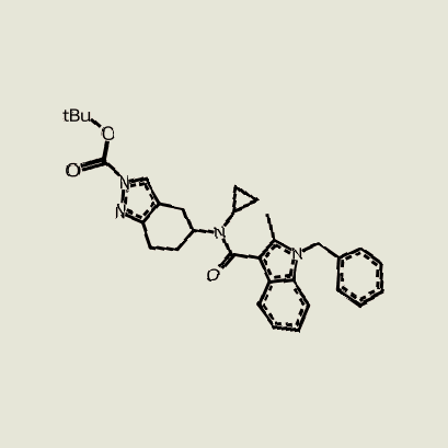 Cc1c(C(=O)N(C2CC2)C2CCc3nn(C(=O)OC(C)(C)C)cc3C2)c2ccccc2n1Cc1ccccc1